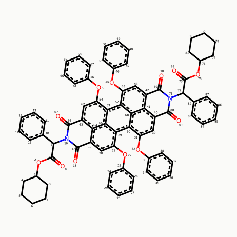 O=C(OC1CCCCC1)C(c1ccccc1)N1C(=O)c2cc(Oc3ccccc3)c3c4c(Oc5ccccc5)cc5c6c(cc(Oc7ccccc7)c(c7c(Oc8ccccc8)cc(c2c37)C1=O)c64)C(=O)N(C(C(=O)OC1CCCCC1)c1ccccc1)C5=O